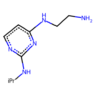 CC(C)Nc1nccc(NCCN)n1